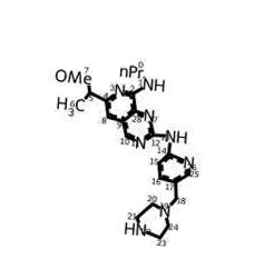 CCCNc1nc(C(C)OC)cc2cnc(Nc3ccc(CN4CCNCC4)cn3)nc12